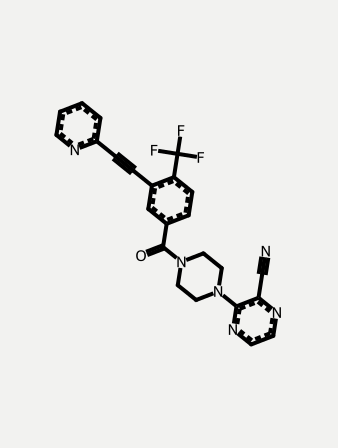 N#Cc1nccnc1N1CCN(C(=O)c2ccc(C(F)(F)F)c(C#Cc3ccccn3)c2)CC1